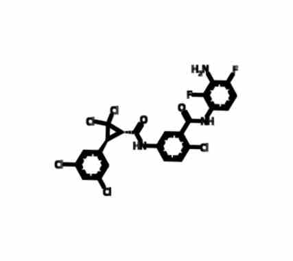 Nc1c(F)ccc(NC(=O)c2cc(NC(=O)[C@@H]3[C@@H](c4cc(Cl)cc(Cl)c4)C3(Cl)Cl)ccc2Cl)c1F